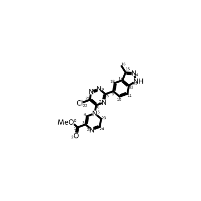 COC(=O)C1=CN(c2nc(-c3ccc4[nH]nc(C)c4c3)nnc2Cl)CC=N1